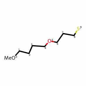 COCCCCOCCC[S]